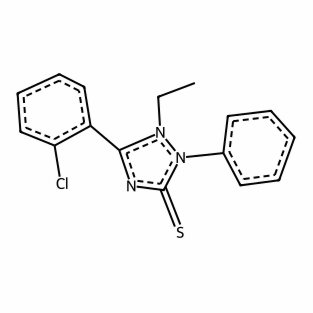 CCn1c(-c2ccccc2Cl)nc(=S)n1-c1ccccc1